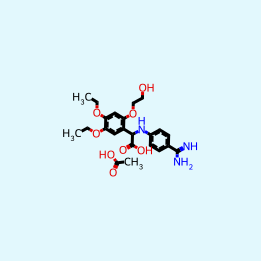 CC(=O)O.CCOc1cc(OCCO)c(C(Nc2ccc(C(=N)N)cc2)C(=O)O)cc1OCC